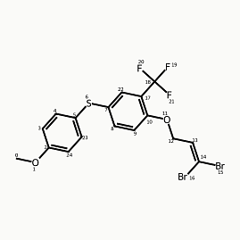 COc1ccc(Sc2ccc(OCC=C(Br)Br)c(C(F)(F)F)c2)cc1